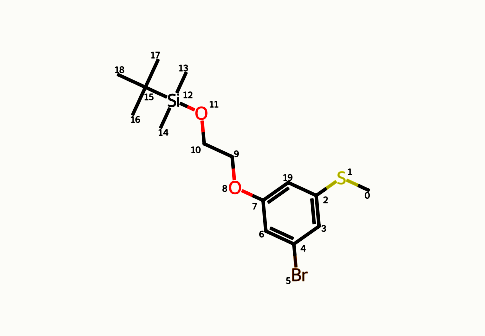 CSc1cc(Br)cc(OCCO[Si](C)(C)C(C)(C)C)c1